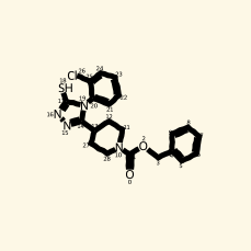 O=C(OCc1ccccc1)N1CCC(c2nnc(S)n2-c2ccccc2Cl)CC1